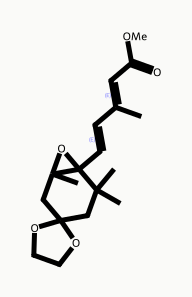 COC(=O)/C=C(C)/C=C/C12OC1(C)CC1(CC2(C)C)OCCO1